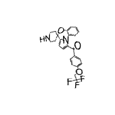 O=C(c1ccc(OCC(F)(F)F)cc1)c1ccc2n1-c1ccccc1OC21CCNCC1